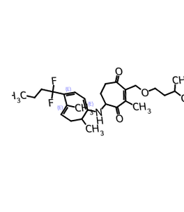 CCCC(F)(F)C1=C/C=C(/NC2CCC(=O)C(COCCC(C)C)=C(C)C2=O)C(C)C\C=C\1C